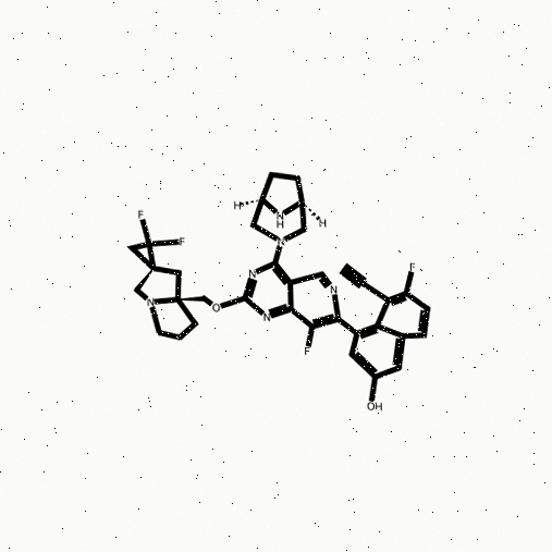 C#Cc1c(F)ccc2cc(O)cc(-c3ncc4c(N5C[C@H]6CC[C@@H](C5)N6)nc(OC[C@@]56CCCN5C[C@]5(CC5(F)F)C6)nc4c3F)c12